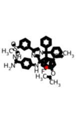 CCOc1cc(OC(C)C)c(F)c(C(Nc2ccc(C(=N)N)cc2)c2nc(-c3cccc(S(C)(=O)=O)c3)cn2C(c2ccccc2)(c2ccccc2)c2ccccc2)c1